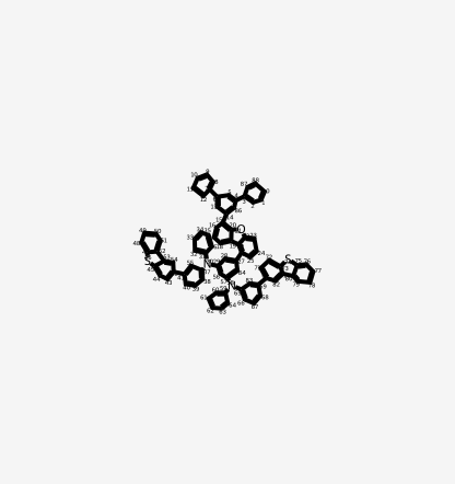 c1ccc(-c2cc(-c3ccccc3)cc(-c3cccc4c3oc3cccc(-c5cc(N(c6ccccc6)c6cccc(-c7ccc8sc9ccccc9c8c7)c6)cc(N(c6ccccc6)c6cccc(-c7ccc8sc9ccccc9c8c7)c6)c5)c34)c2)cc1